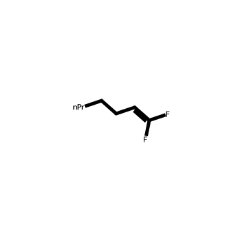 [CH2]CCCCC=C(F)F